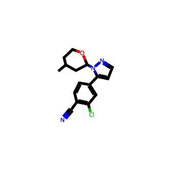 CC1CCOC(n2nccc2-c2ccc(C#N)c(Cl)c2)C1